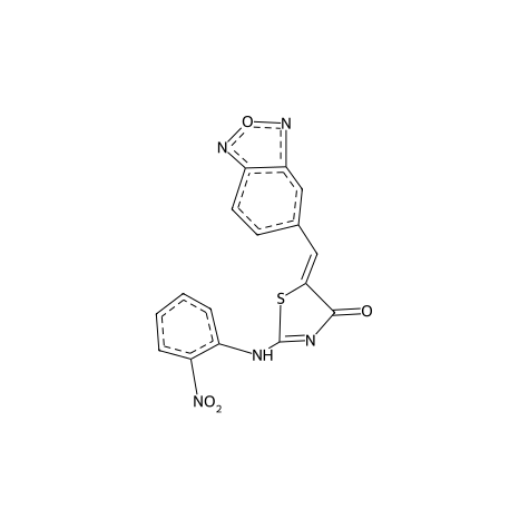 O=C1N=C(Nc2ccccc2[N+](=O)[O-])S/C1=C\c1ccc2nonc2c1